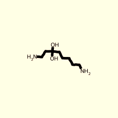 NCCCCCC(O)(O)CCN